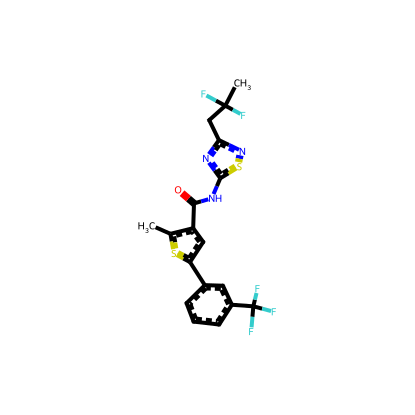 Cc1sc(-c2cccc(C(F)(F)F)c2)cc1C(=O)Nc1nc(CC(C)(F)F)ns1